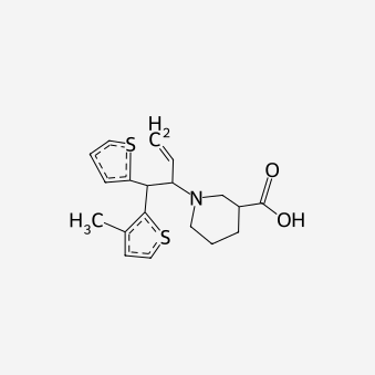 C=CC(C(c1cccs1)c1sccc1C)N1CCCC(C(=O)O)C1